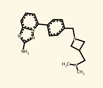 CN(C)CC1CN(Cc2ccc(-c3cccc4nc(N)nn34)cc2)C1